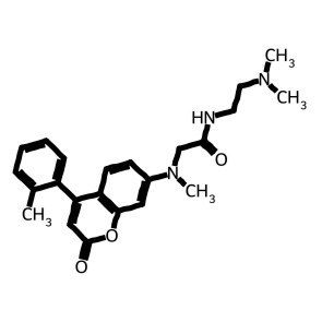 Cc1ccccc1-c1cc(=O)oc2cc(N(C)CC(=O)NCCN(C)C)ccc12